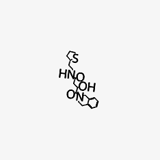 O=C(C[C@@H](O)C(=O)N1CCc2ccccc2C1)NCCC1CCCS1